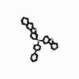 c1ccc(-c2ccc(N(c3ccc4c(c3)sc3cc5ccccc5cc34)c3ccc4oc5ccccc5c4c3)cc2)cc1